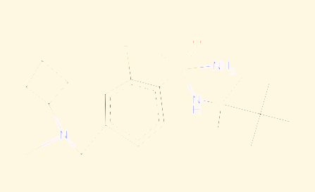 CN(Cc1ccc(S(C)(N)(=O)N[Si](C)(C)C(C)(C)C)c(F)c1)C1CCC1